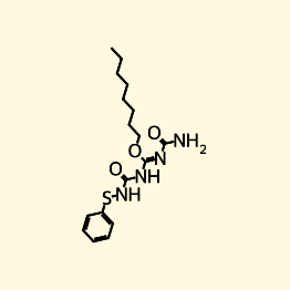 CCCCCCCCOC(=NC(N)=O)NC(=O)NSc1ccccc1